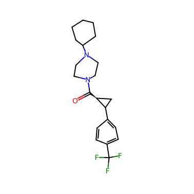 O=C([C@H]1CC1c1ccc(C(F)(F)F)cc1)N1CCN(C2CCCCC2)CC1